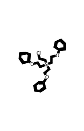 ClCC[Si](CCOc1ccccc1)(CCOc1ccccc1)CCOc1ccccc1